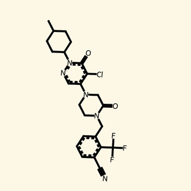 CC1CCC(n2ncc(N3CCN(Cc4cccc(C#N)c4C(F)(F)F)C(=O)C3)c(Cl)c2=O)CC1